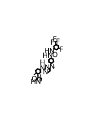 Cc1ccc(Nc2nccc(N(C)c3ccc(NC(=O)Nc4cc(F)cc(C(F)(F)F)c4)cc3)n2)cc1N1CCNC1=O